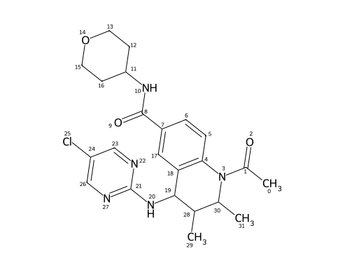 CC(=O)N1c2ccc(C(=O)NC3CCOCC3)cc2C(Nc2ncc(Cl)cn2)C(C)C1C